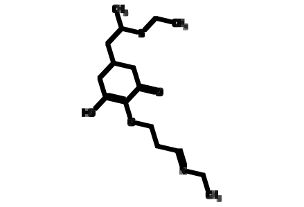 CCN=CCCOC1=C(O)CC(CC(C)SCC)CC1=O